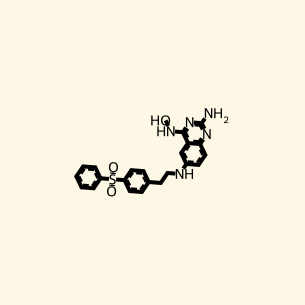 Nc1nc(NO)c2cc(NCCc3ccc(S(=O)(=O)c4ccccc4)cc3)ccc2n1